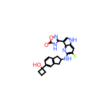 O=c1[nH]c(-c2c[nH]c3cc(F)c(NC4Cc5ccc(C6(O)CCC6)cc5C4)nc23)no1